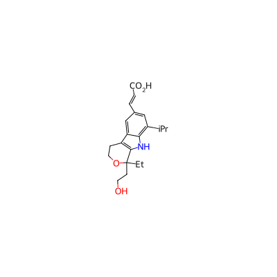 CCC1(CCO)OCCc2c1[nH]c1c(C(C)C)cc(C=CC(=O)O)cc21